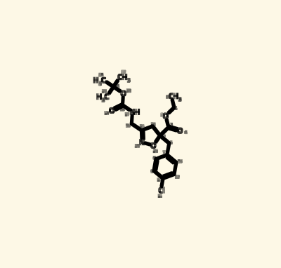 CCOC(=O)C1(Cc2ccc(Cl)cc2)CC(CNC(=O)OC(C)(C)C)=NO1